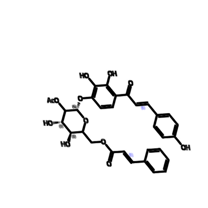 CC(=O)OC1[C@H](Oc2ccc(C(=O)/C=C/c3ccc(O)cc3)c(O)c2O)OC(COC(=O)/C=C/c2ccccc2)[C@@H](O)[C@@H]1O